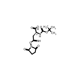 CC(C)(C)OC(=O)N[C@@H](CC(=N)ON1C(=O)CCC1=O)C(=O)O